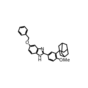 COc1ccc(-c2nc3cc(OCc4ccccc4)ccc3[nH]2)cc1C12CC3CC(CC(C3)C1)C2